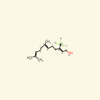 CC(C)=CCCC(C)=CCCC(=CCO)C(F)(F)F